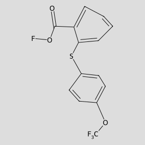 O=C(OF)c1ccccc1Sc1ccc(OC(F)(F)F)cc1